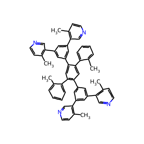 Cc1ccncc1-c1cc(-c2cnccc2C)cc(-c2cc(-c3ccccc3C)c(-c3cc(-c4cnccc4C)cc(-c4cnccc4C)c3)cc2-c2ccccc2C)c1